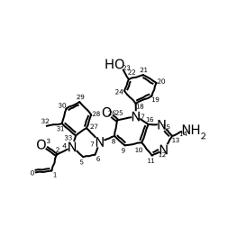 C=CC(=O)N1CCN(c2cc3cnc(N)nc3n(-c3cccc(O)c3)c2=O)c2cccc(C)c21